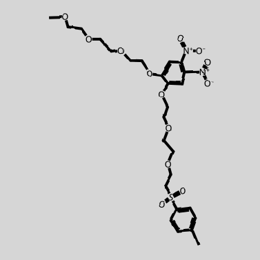 COCCOCCOCCOc1cc([N+](=O)[O-])c([N+](=O)[O-])cc1OCCOCCOCCS(=O)(=O)c1ccc(C)cc1